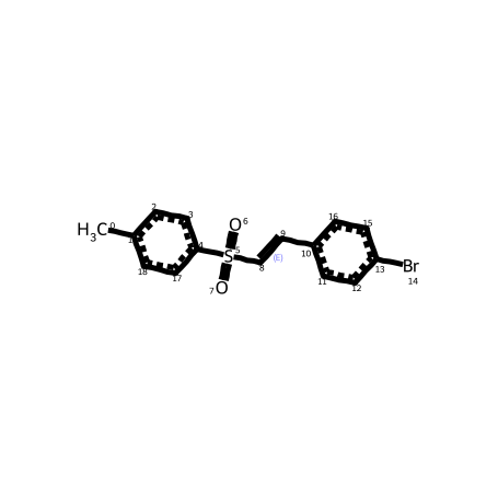 Cc1ccc(S(=O)(=O)/C=C/c2ccc(Br)cc2)cc1